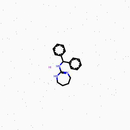 I.c1ccc(C(NC2=NCCCCN2)c2ccccc2)cc1